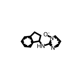 [O-][n+]1cccnc1NC1CCc2ccccc21